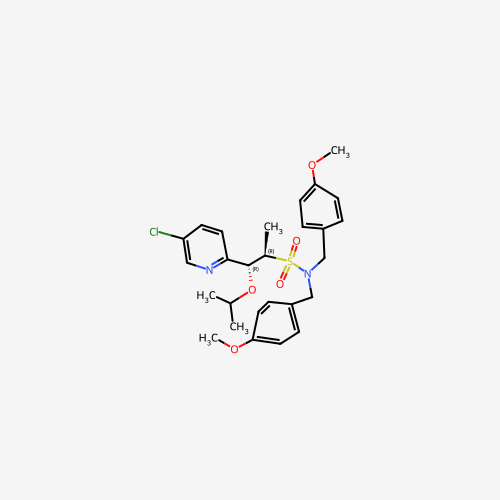 COc1ccc(CN(Cc2ccc(OC)cc2)S(=O)(=O)[C@H](C)[C@H](OC(C)C)c2ccc(Cl)cn2)cc1